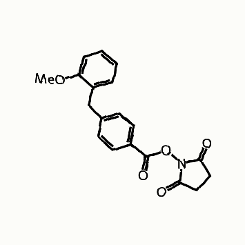 COc1ccccc1Cc1ccc(C(=O)ON2C(=O)CCC2=O)cc1